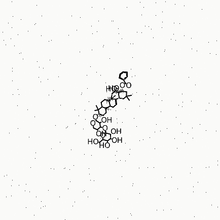 CC1(C)CC2C3=CCC4[C@@]5(C)CC[C@H](OC6OCC(O)C(OC7OC(CO)C(O)C(O)C7O)C6O)C(C)(C)C5CC[C@@]4(C)[C@]3(C)C[C@H](O)[C@@]2(CO)[C@H](OC(=O)c2ccccc2)C1